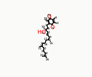 CC1=C(C)C(=O)C(CC[C@@](C)(O)CCC[C@@H](C)CCCC(C)CCCC(C)C)=C(C)C1=O